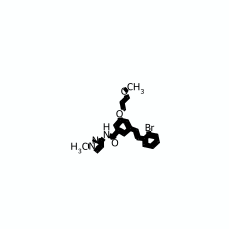 COCCCOc1cc(/C=C/c2ccccc2Br)cc(C(=O)Nc2ccn(C)n2)c1